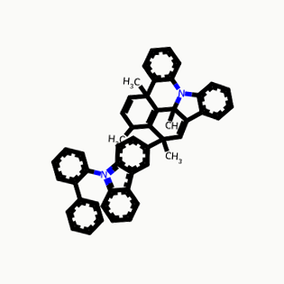 CC1C=CC2(C)C3=C1C(C)(c1ccc4c(c1)c1ccccc1n4-c1ccccc1-c1ccccc1)C=C1c4ccccc4N(c4ccccc42)C13C